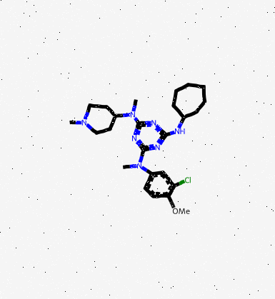 COc1ccc(N(C)c2nc(NC3CCCCCC3)nc(N(C)C3CCN(C)CC3)n2)cc1Cl